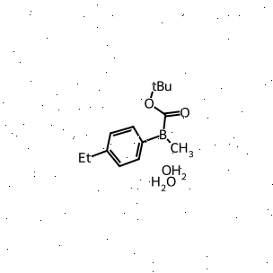 CCc1ccc(B(C)C(=O)OC(C)(C)C)cc1.O.O